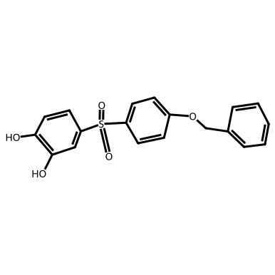 O=S(=O)(c1ccc(OCc2ccccc2)cc1)c1ccc(O)c(O)c1